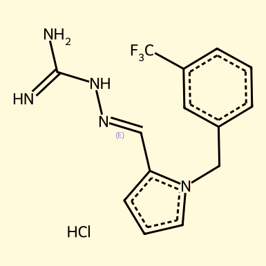 Cl.N=C(N)N/N=C/c1cccn1Cc1cccc(C(F)(F)F)c1